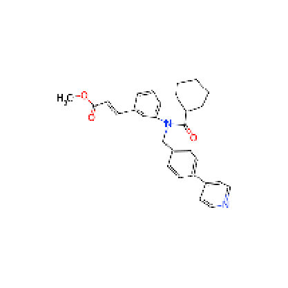 COC(=O)/C=C/c1cccc(N(Cc2ccc(-c3ccncc3)cc2)C(=O)C2CCCCC2)c1